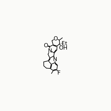 CC[C@]1(O)c2cc3n(c(=O)c2COC1C)Cc1c-3nc2cc(F)c(C)c3c2c1CCC3